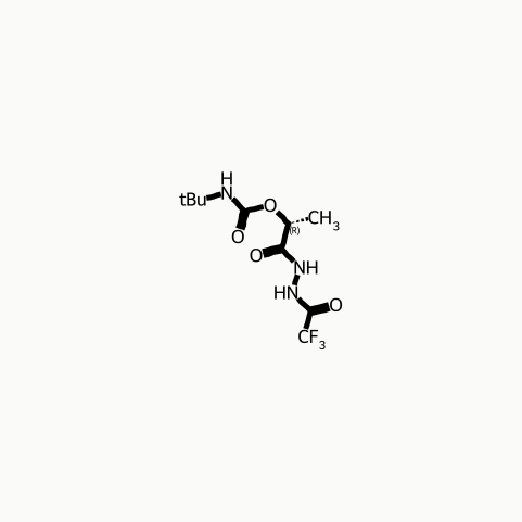 C[C@@H](OC(=O)NC(C)(C)C)C(=O)NNC(=O)C(F)(F)F